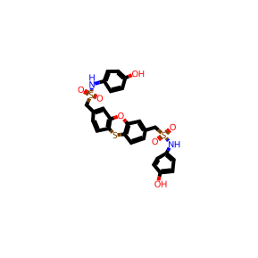 O=S(=O)(Cc1ccc2c(c1)Oc1cc(CS(=O)(=O)Nc3ccc(O)cc3)ccc1S2)Nc1ccc(O)cc1